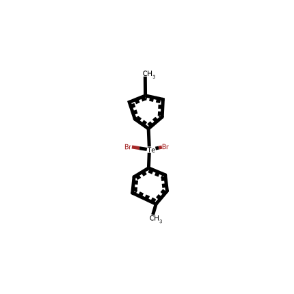 Cc1ccc([Te](Br)(Br)c2ccc(C)cc2)cc1